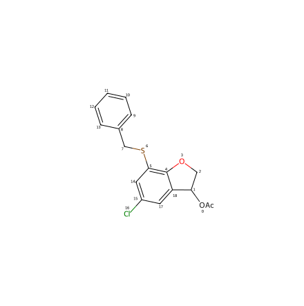 CC(=O)OC1COc2c(SCc3ccccc3)cc(Cl)cc21